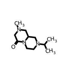 CC(C)N1CCN2C(=O)CN(C)CC2C1